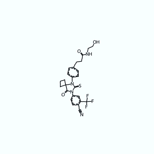 N#Cc1ccc(N2C(=O)C3(CCC3)N(c3ccc(CCC(=O)NCCO)cc3)C2=S)cc1C(F)(F)F